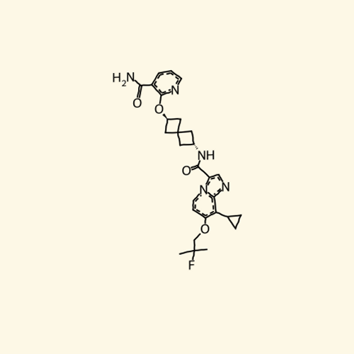 CC(C)(F)COc1ccn2c(C(=O)N[C@H]3CC4(C3)C[C@H](Oc3ncccc3C(N)=O)C4)cnc2c1C1CC1